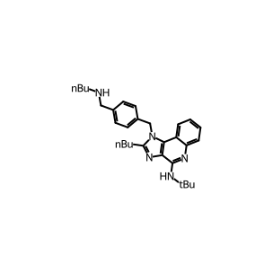 CCCCNCc1ccc(Cn2c(CCCC)nc3c(NC(C)(C)C)nc4ccccc4c32)cc1